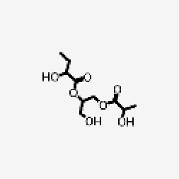 CCC(O)C(=O)OC(CO)COC(=O)C(C)O